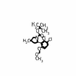 C=C1C[C@H](c2c(OCOC)ccc(Cl)c2Cl)N(C(=O)OC(C)(C)C)C1